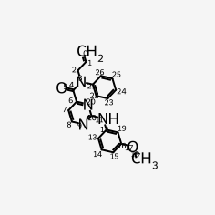 C=CCN(C(=O)c1ccnc(Nc2cccc(OC)c2)n1)c1ccccc1